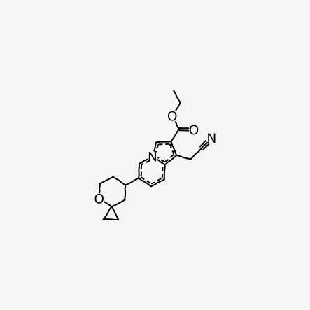 CCOC(=O)c1cn2cc(C3CCOC4(CC4)C3)ccc2c1CC#N